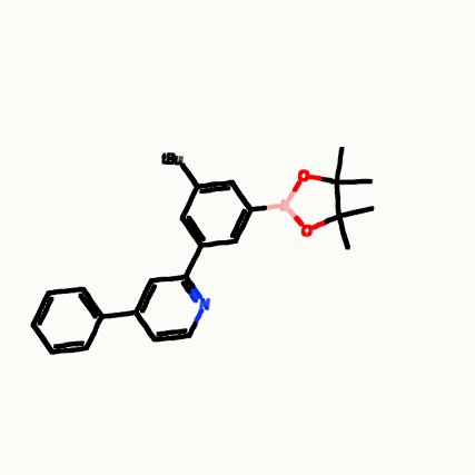 CC(C)(C)c1cc(B2OC(C)(C)C(C)(C)O2)cc(-c2cc(-c3ccccc3)ccn2)c1